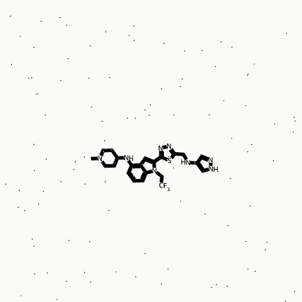 CN1CCC(Nc2cccc3c2cc(-c2nnc(CNc4cn[nH]c4)s2)n3CC(F)(F)F)CC1